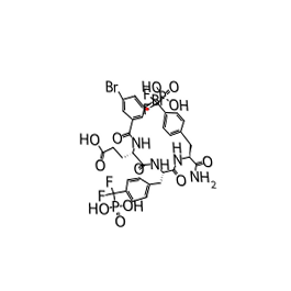 NC(=O)[C@H](Cc1ccc(C(F)(F)P(=O)(O)O)cc1)NC(=O)[C@H](Cc1ccc(C(F)(F)P(=O)(O)O)cc1)NC(=O)[C@H](CCC(=O)O)NC(=O)c1cc(Br)cc(Br)c1